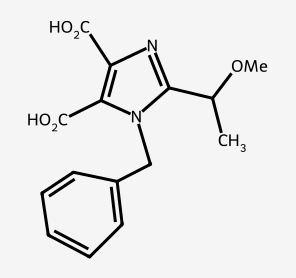 COC(C)c1nc(C(=O)O)c(C(=O)O)n1Cc1ccccc1